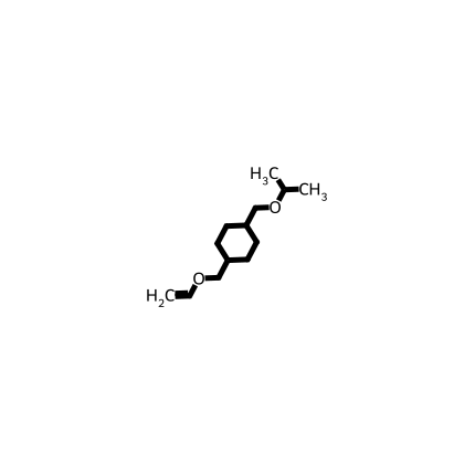 C=COCC1CCC(COC(C)C)CC1